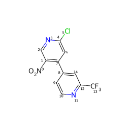 O=[N+]([O-])c1cnc(Cl)cc1-c1ccnc(C(F)(F)F)c1